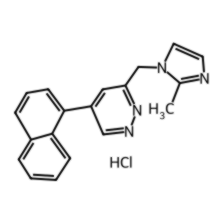 Cc1nccn1Cc1cc(-c2cccc3ccccc23)cnn1.Cl